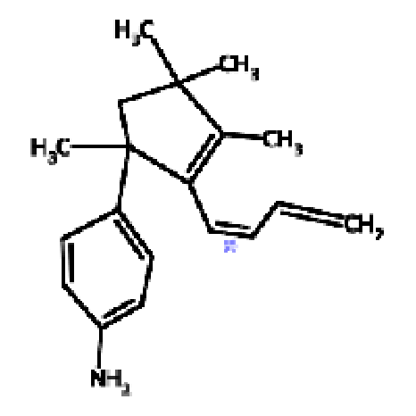 C=C/C=C\C1=C(C)C(C)(C)CC1(C)c1ccc(N)cc1